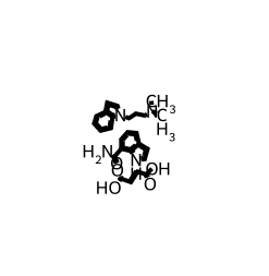 CN(C)CCCn1ccc2ccccc21.NC(=O)c1cccc2cc[nH]c12.O=C(O)C=CC(=O)O